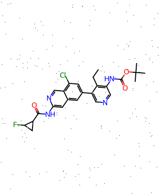 CCc1c(NC(=O)OC(C)(C)C)cncc1-c1cc(Cl)c2cnc(NC(=O)C3CC3F)cc2c1